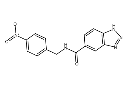 O=C(NCc1ccc([N+](=O)[O-])cc1)c1ccc2[nH]nnc2c1